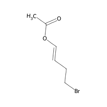 CC(=O)O/C=C/CCBr